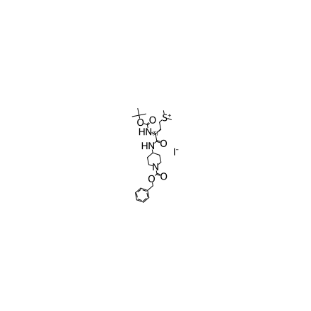 C[S+](C)CC[C@H](NC(=O)OC(C)(C)C)C(=O)NC1CCN(C(=O)OCc2ccccc2)CC1.[I-]